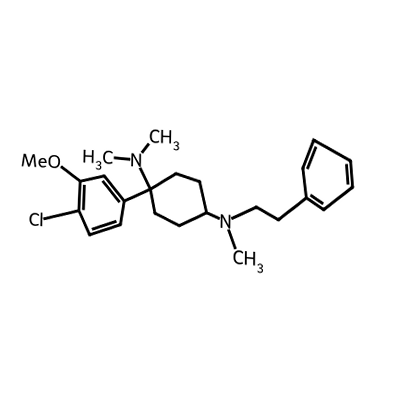 COc1cc(C2(N(C)C)CCC(N(C)CCc3ccccc3)CC2)ccc1Cl